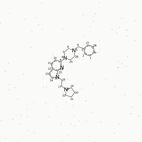 c1ccc(CN2CCN(c3ccc4ccn(CCN5CCCC5)c4n3)CC2)cc1